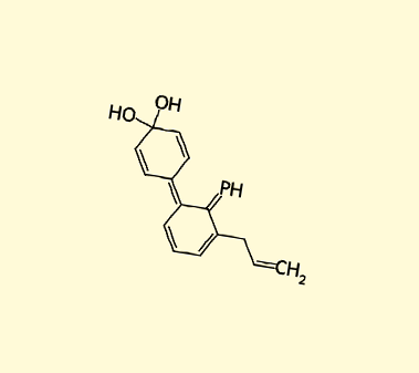 C=CCC1=CC=CC(=C2C=CC(O)(O)C=C2)C1=P